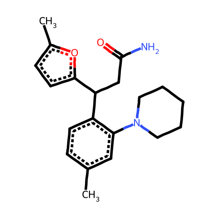 Cc1ccc(C(CC(N)=O)c2ccc(C)o2)c(N2CCCCC2)c1